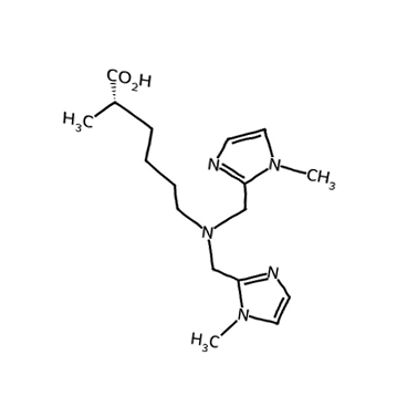 C[C@@H](CCCCN(Cc1nccn1C)Cc1nccn1C)C(=O)O